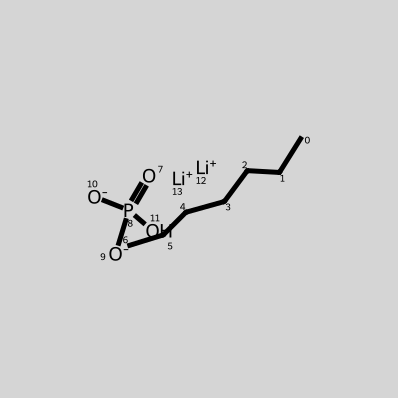 CCCCCCC.O=P([O-])([O-])O.[Li+].[Li+]